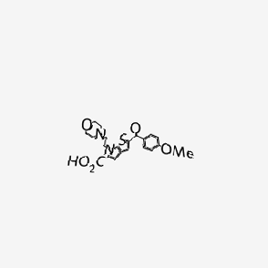 COc1ccc(C(=O)c2cc3cc(C(=O)O)n(CCN4CCOCC4)c3s2)cc1